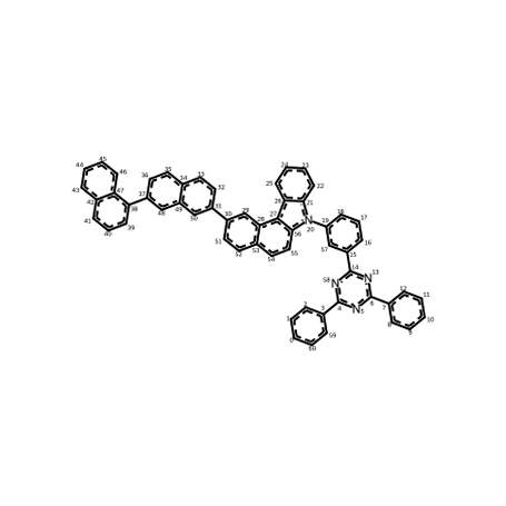 c1ccc(-c2nc(-c3ccccc3)nc(-c3cccc(-n4c5ccccc5c5c6cc(-c7ccc8ccc(-c9cccc%10ccccc9%10)cc8c7)ccc6ccc54)c3)n2)cc1